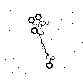 O=C(O)c1ccccc1.O=C(O)c1ccccc1.O=C(OCCCOCCCOC(=O)c1ccccc1)c1ccccc1